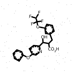 O=C(O)C(Cc1cccc(OC(F)(F)C(F)F)c1)C(O)c1ccc(Oc2ccccc2)cn1